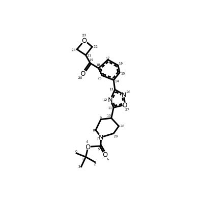 CC(C)(C)OC(=O)N1CCC(c2nc(-c3cccc(C(=O)C4COC4)c3)no2)CC1